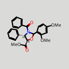 COC(=O)[C@@H]1OC(c2ccc(OC)cc2OC)N(C(=O)c2ccccc2)[C@H]1c1ccccc1